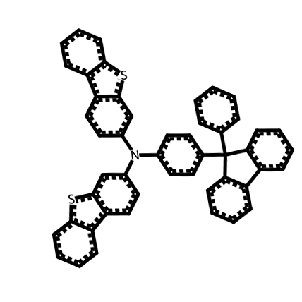 c1ccc(C2(c3ccc(N(c4ccc5c(c4)sc4ccccc45)c4ccc5c(c4)sc4ccccc45)cc3)c3ccccc3-c3ccccc32)cc1